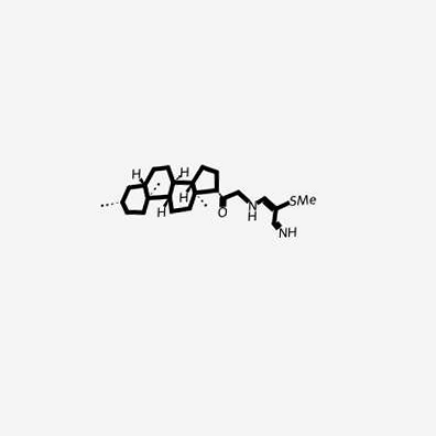 CS/C(C=N)=C/NCC(=O)[C@H]1CC[C@H]2[C@@H]3CC[C@H]4C[C@@H](C)CC[C@]4(C)[C@H]3CC[C@]12C